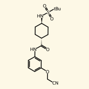 CC(C)(C)S(=O)(=O)N[C@H]1CC[C@H](C(=O)Nc2cccc(OCC#N)c2)CC1